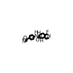 O=C(Nc1ccc(-c2cnco2)cc1)N1[C@@H]2CC[C@H]1c1ccnc(F)c1C2